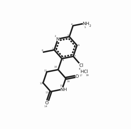 Cc1nc(CN)cc(Cl)c1C1CCC(=O)NC1=O.Cl